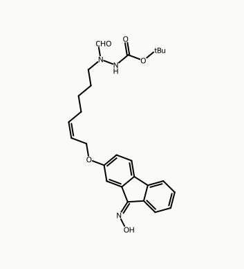 CC(C)(C)OC(=O)NN(C=O)CCCC/C=C\COc1ccc2c(c1)/C(=N/O)c1ccccc1-2